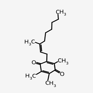 CCCCCCC(C)=CCC1=C(C)C(=O)C(C)=C(C)C1=O